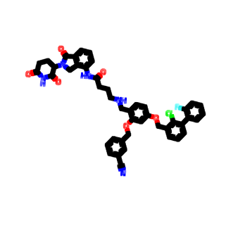 N#Cc1cccc(COc2cc(OCc3cccc(-c4ccccc4F)c3Cl)ccc2CNCCCC(=O)Nc2cccc3c2CN(C2CCC(=O)NC2=O)C3=O)c1